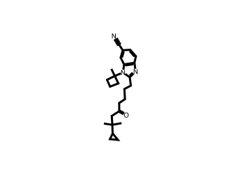 CC(C)(CC(=O)CCCCc1nc2ccc(C#N)cc2n1C1(C)CCC1)C1CC1